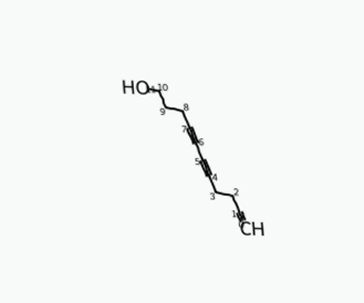 C#CCCC#CC#CCCCO